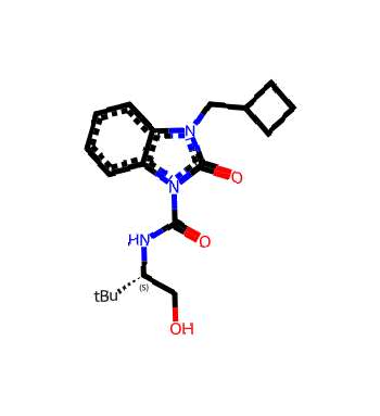 CC(C)(C)[C@@H](CO)NC(=O)n1c(=O)n(CC2CCC2)c2ccccc21